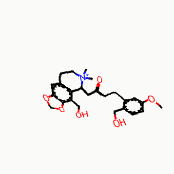 COc1ccc(CO)c(CCC(=O)CC2c3c(cc4c(c3CO)OCO4)CC[N+]2(C)C)c1